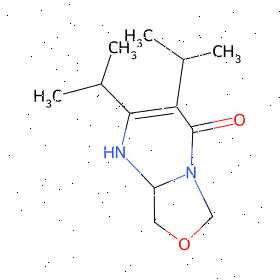 CC(C)C1=C(C(C)C)C(=O)N2COCC2N1